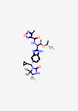 [2H]C1([2H])[C@@H](C(F)(F)F)NC(=O)N1[C@@H](c1ccc2[nH]c([C@@H](NC(=O)c3nonc3C)[C@@H](C)O[C@H](C)C(F)(F)F)nc2c1)C1CC1